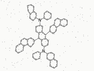 c1ccc(N(c2ccc3ccccc3c2)c2ccc3c(-c4ccc5c(ccc6ccccc65)c4)c4cc(N(c5ccccc5)c5ccc6ccccc6c5)ccc4c(-c4ccc5c(ccc6ccccc65)c4)c3c2)cc1